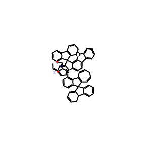 C/C=C\C(=C/I)N(c1cccc2c1C1=C(C=CCC=C1)C21C2=CC=CCC2c2ccccc21)c1ccc2c(oc3ccccc32)c1C1(c2ccccc2)C2=C(C=CCC2)c2ccccc21